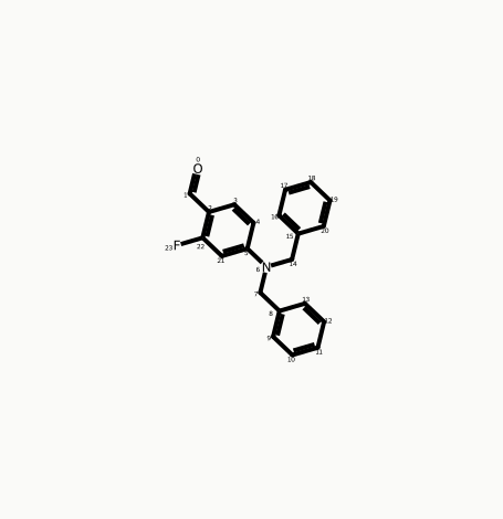 O=Cc1ccc(N(Cc2ccccc2)Cc2ccccc2)cc1F